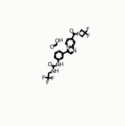 O=C(NCC(F)(F)F)Nc1cccc(-c2cnc3cc(C(=O)N4CC(F)(F)C4)ccn23)c1.O=CO